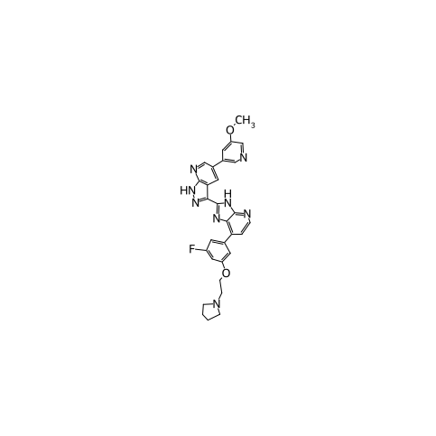 COc1cncc(-c2cnc3[nH]nc(-c4nc5c(-c6cc(F)cc(OCCN7CCCC7)c6)ccnc5[nH]4)c3c2)c1